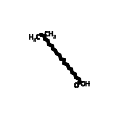 CC[C@@H](C)CCCCCCCCCCCCCCCCCCC(=O)O